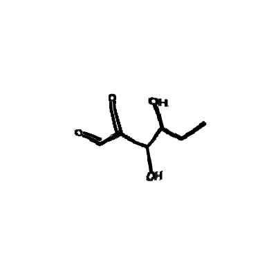 CCC(O)C(O)C(=O)C=O